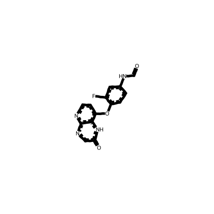 O=CNc1ccc(Oc2ccnc3ncc(=O)[nH]c23)c(F)c1